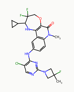 Cn1c(=O)c2c(c3cc(Nc4nc(N5CC(C)(F)C5)ncc4Cl)ccc31)NC(C1CC1)C(F)(F)CO2